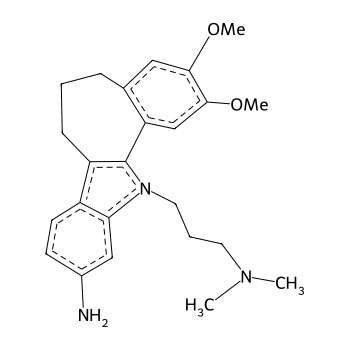 COc1cc2c(cc1OC)-c1c(c3ccc(N)cc3n1CCCN(C)C)CCC2